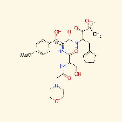 COc1ccc([C@@H](O)[C@H](NC(=O)C(CO)NC(=O)CN2CCOCC2)C(=O)NC(CC2=CCCC2)C(=O)C2(C)CO2)cc1